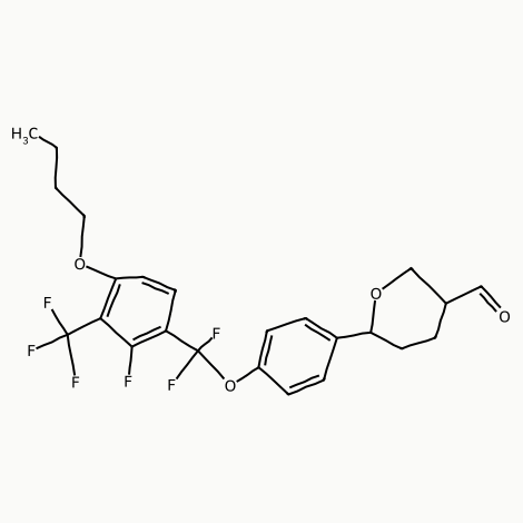 CCCCOc1ccc(C(F)(F)Oc2ccc(C3CCC(C=O)CO3)cc2)c(F)c1C(F)(F)F